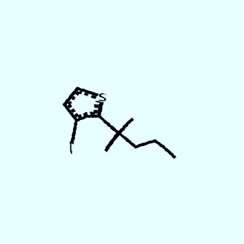 CCCC(C)(C)c1sccc1I